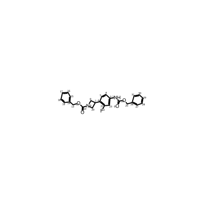 O=C(Nc1ccc(C2CN(C(=O)OCc3ccccc3)C2)c(F)c1)OCc1ccccc1